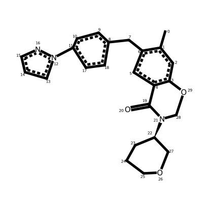 Cc1cc2c(cc1Cc1ccc(-n3cccn3)cc1)C(=O)N([C@@H]1CCCOC1)CO2